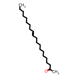 CCCCCCCC/C=C/CCCCCCCCCC(C)=O